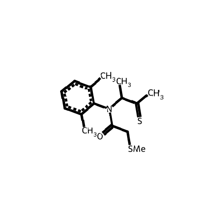 CSCC(=O)N(c1c(C)cccc1C)C(C)C(C)=S